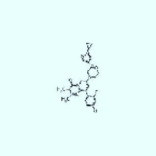 Cc1nc2c(-c3ccc(Cl)cc3F)cc(N3CCO[C@@H](c4cnn(C5CC5)c4)C3)cn2c(=O)c1C